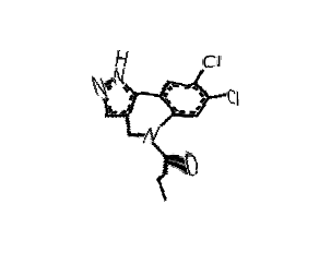 CCC(=O)N1Cc2cn[nH]c2-c2cc(Cl)c(Cl)cc21